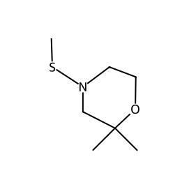 CSN1CCOC(C)(C)C1